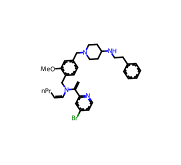 C=C(c1cc(Br)ccn1)N(/C=C\CCC)Cc1ccc(CN2CCC(NCCc3ccccc3)CC2)cc1OC